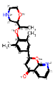 Cc1cc(-c2cc(=O)c3cccnc3o2)cc(C)c1OC(C)C1CNCCO1